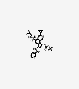 CC(C)CNS(=O)(=O)c1cc2c(c3cnc(C4CC4)cc13)[C@H](NC(=O)OC(C)(C)C)C[C@H]2NC(=O)c1cccnc1